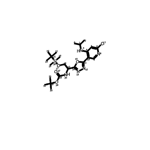 CC(C)Nc1cc(Cl)ncc1-c1nnc(C(CO[Si](C)(C)C(C)(C)C)NC(=O)OC(C)(C)C)o1